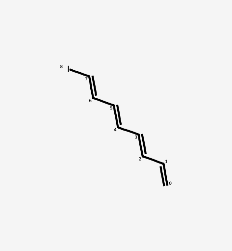 C=C/C=C/C=C/C=C/I